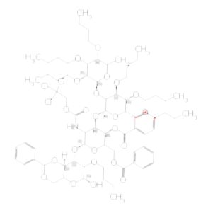 CCCCOCC1O[C@@H](O[C@@H]2C(NC(=O)OCC(Cl)(Cl)Cl)[C@H](O[C@@H]3C(OCCCC)[C@@H](O)OC4COC(c5ccccc5)O[C@@H]43)OC(COC(=O)c3ccccc3)[C@@H]2OC(=O)c2ccccc2)C(O[C@@H]2OC(C)[C@@H](OCCCC)C(OCCCC)[C@@H]2OCCCC)[C@@H](OCCCC)[C@H]1OCCCC